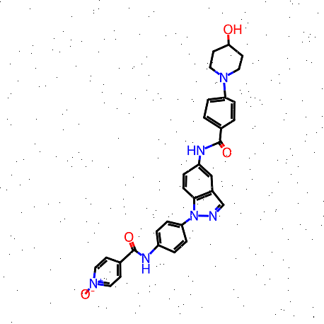 O=C(Nc1ccc(-n2ncc3cc(NC(=O)c4ccc(N5CCC(O)CC5)cc4)ccc32)cc1)c1cc[n+]([O-])cc1